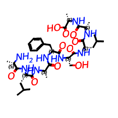 CC(C)C[C@H](NC(=O)[C@H](C)N)C(=O)N[C@@H](C)C(=O)N[C@@H](Cc1ccccc1)C(=O)N[C@@H](CO)C(=O)N[C@@H](CC(C)C)C(=O)N[C@@H](C)C(=O)N[C@@H](C)C(=O)O